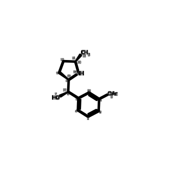 CC(=O)Oc1cccc([C@@H](O)[C@H]2CC[C@@H](C)N2)c1